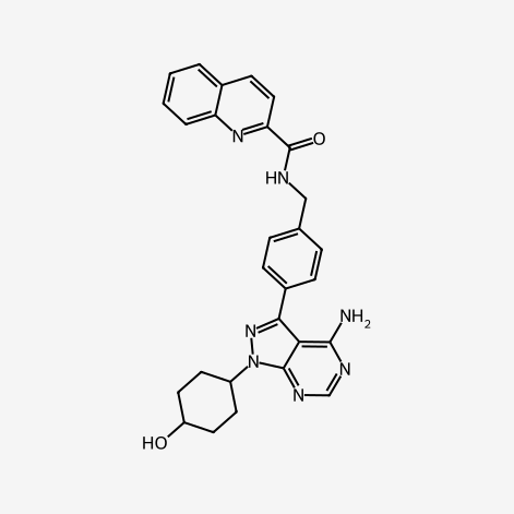 Nc1ncnc2c1c(-c1ccc(CNC(=O)c3ccc4ccccc4n3)cc1)nn2C1CCC(O)CC1